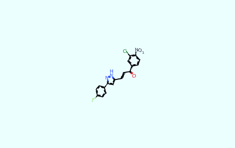 O=C(/C=C/c1cc(-c2ccc(F)cc2)n[nH]1)c1ccc([N+](=O)[O-])c(Cl)c1